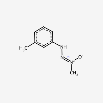 Cc1cccc(N/N=[N+](/C)[O-])c1